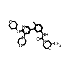 Cc1ccc(NC(=O)N2CCO[C@H](C(F)(F)F)C2)cc1-c1cnc(OC2CCOCC2)c(N2CCOCC2)c1